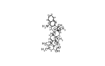 C[C@H]1[C@H](C)CC[C@]2(C(=O)O)CC[C@]3(C)C(=CC[C@@H]4[C@@]5(C)Cc6c(nc7ccccc7c6N)C(C)(C)[C@@H]5CC[C@]43C)[C@H]12